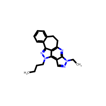 CCCCn1nc2c3c(nc4c(cnn4CC)c31)CCc1ccccc1-2